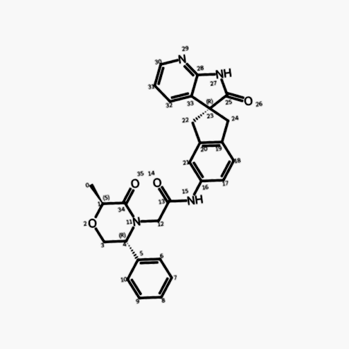 C[C@@H]1OC[C@@H](c2ccccc2)N(CC(=O)Nc2ccc3c(c2)C[C@@]2(C3)C(=O)Nc3ncccc32)C1=O